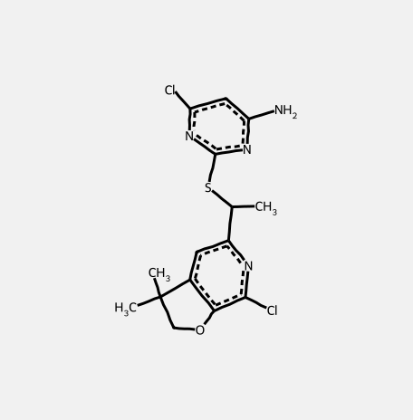 CC(Sc1nc(N)cc(Cl)n1)c1cc2c(c(Cl)n1)OCC2(C)C